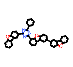 c1ccc(-c2nc(-c3ccc4oc5ccccc5c4c3)nc(-c3cccc4c3oc3ccc(-c5ccc6oc7ccccc7c6c5)cc34)n2)cc1